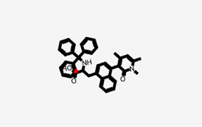 Cc1cc(C)n(C)c(=O)c1-c1ccc(CC(NC(c2ccccc2)(c2ccccc2)c2ccccc2)C(=O)O)c2ccccc12